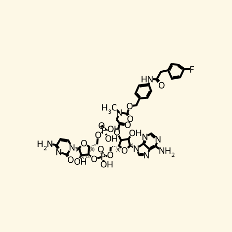 CN(CC(=O)OC1C(O)[C@H](n2cnc3c(N)ncnc32)O[C@@H]1COP(=O)(O)O[C@H]1[C@@H](O)[C@H](n2ccc(N)nc2=O)O[C@@H]1COP(=O)(O)O)C(=O)OCc1ccc(NC(=O)Cc2ccc(F)cc2)cc1